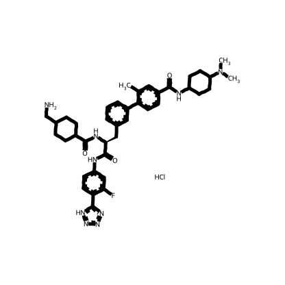 Cc1cc(C(=O)NC2CCC(N(C)C)CC2)ccc1-c1cccc(C[C@H](NC(=O)C2CCC(CN)CC2)C(=O)Nc2ccc(-c3nnn[nH]3)c(F)c2)c1.Cl